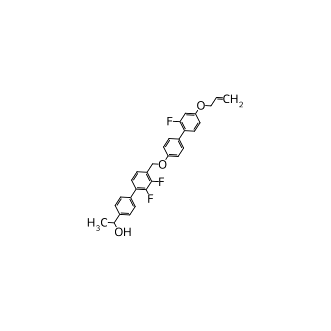 C=CCOc1ccc(-c2ccc(OCc3ccc(-c4ccc(C(C)O)cc4)c(F)c3F)cc2)c(F)c1